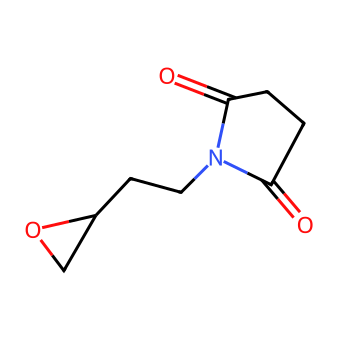 O=C1CCC(=O)N1CCC1CO1